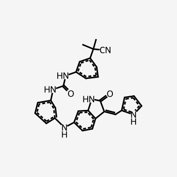 CC(C)(C#N)c1cccc(NC(=O)Nc2cccc(Nc3ccc4c(c3)NC(=O)/C4=C\c3ccc[nH]3)c2)c1